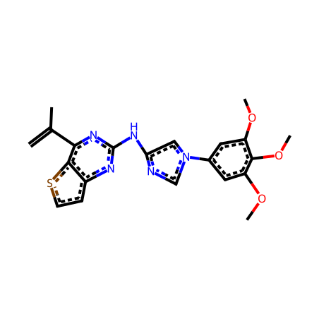 C=C(C)c1nc(Nc2cn(-c3cc(OC)c(OC)c(OC)c3)cn2)nc2ccsc12